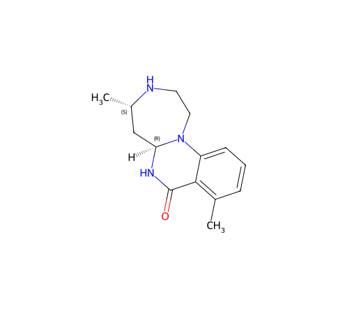 Cc1cccc2c1C(=O)N[C@H]1C[C@H](C)NCCN21